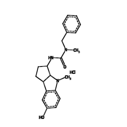 CN(Cc1ccccc1)C(=O)NC1CCC2c3cc(O)ccc3N(C)C12.Cl